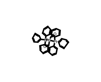 O=[CH][Pd]([CH]=O)([PH](c1ccccc1)(c1ccccc1)c1ccccc1)[PH](c1ccccc1)(c1ccccc1)c1ccccc1